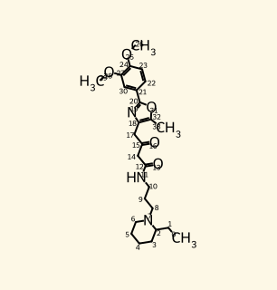 CCC1CCCCN1CCCNC(=O)CC(=O)Cc1nc(-c2ccc(OC)c(OC)c2)oc1C